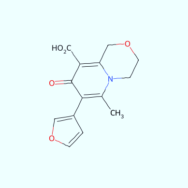 Cc1c(-c2ccoc2)c(=O)c(C(=O)O)c2n1CCOC2